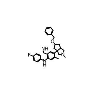 Cc1cc(Nc2ccc(F)cc2)c(C=N)cc1C12CC(OCc3ccccc3)CC1CN(C)C2